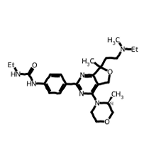 CCNC(=O)Nc1ccc(-c2nc(N3CCOC[C@@H]3C)c3c(n2)C(C)(CCN(C)CC)OC3)cc1